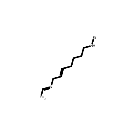 CC=NCC=CCCCCNCC